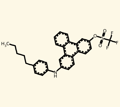 CCCCCc1ccc(Nc2ccc3c4ccc(OS(=O)(=O)C(F)(F)F)cc4c4ccccc4c3c2)cc1